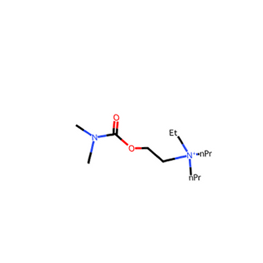 CCC[N+](CC)(CCC)CCOC(=O)N(C)C